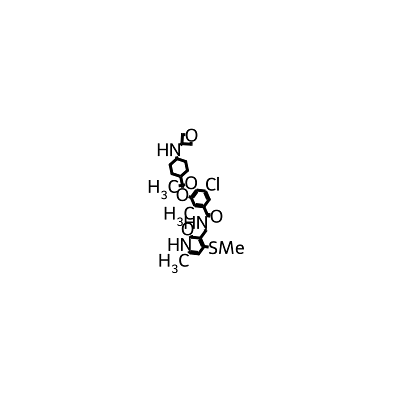 CSc1cc(C)[nH]c(=O)c1CNC(=O)c1cc(Cl)c2c(c1C)OC(C)(C1CCC(NC3COC3)CC1)O2